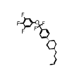 C/C=C\CC[C@H]1CC[C@H](c2ccc(C(F)(F)Oc3cc(F)c(F)c(F)c3)cc2)CC1